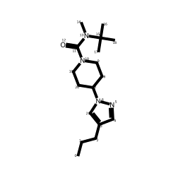 CCCc1cnn(C2CCN(C(=O)N(C)C(C)(C)C)CC2)c1